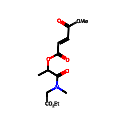 CCOC(=O)CN(C)C(=O)C(C)OC(=O)/C=C/C(=O)OC